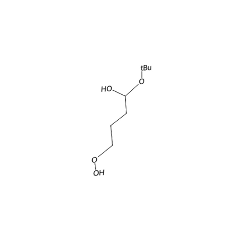 CC(C)(C)OC(O)CCCOO